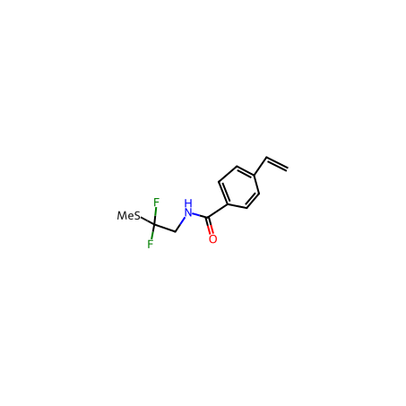 C=Cc1ccc(C(=O)NCC(F)(F)SC)cc1